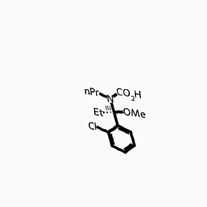 CCCN(C(=O)O)[C@@](CC)(OC)c1ccccc1Cl